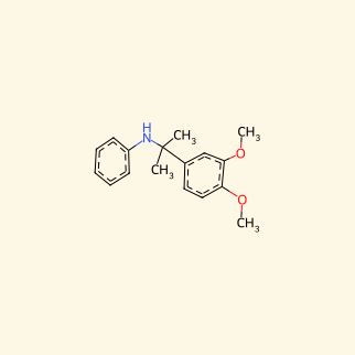 COc1ccc(C(C)(C)Nc2ccccc2)cc1OC